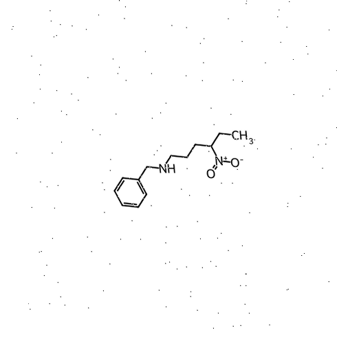 CCC(CCCNCc1ccccc1)[N+](=O)[O-]